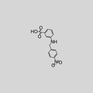 O=[N+]([O-])c1ccc(CNc2cccc(S(=O)(=O)O)c2)cc1